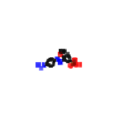 COc1ccc(S(=O)(=O)O)cc1N=Nc1ccc(N)cc1